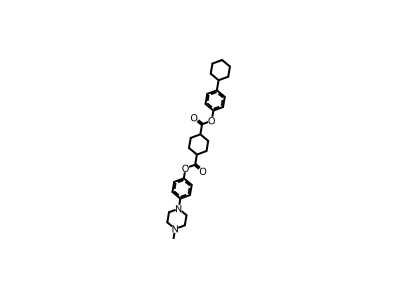 CN1CCN(c2ccc(OC(=O)C3CCC(C(=O)Oc4ccc(C5CCCCC5)cc4)CC3)cc2)CC1